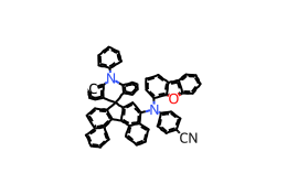 N#Cc1ccc(N(c2cc3c(c4ccccc24)-c2c(ccc4ccccc24)C32c3ccccc3N(c3ccccc3)c3ccccc32)c2cccc3c2oc2ccccc23)cc1